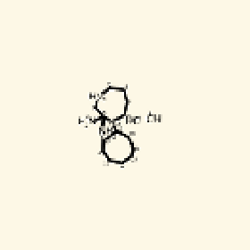 Cl.Cl.NC1(N)CNCCCCN1C1CCCCCCC1